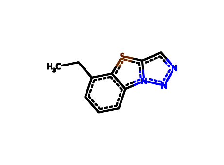 CCc1cccc2c1sc1cnnn12